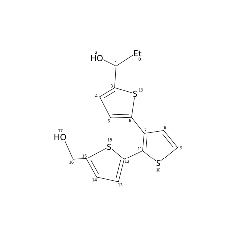 CCC(O)c1ccc(-c2ccsc2-c2ccc(CO)s2)s1